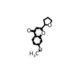 COc1ccc2c(=O)cc(C3CCCO3)oc2c1